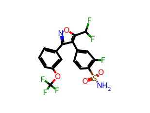 NS(=O)(=O)c1ccc(-c2c(-c3cccc(OC(F)(F)F)c3)noc2C(F)F)cc1F